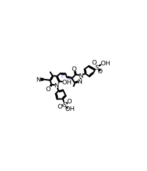 CC1=NN(c2ccc(S(=O)(=O)O)cc2)C(=O)/C1=C\C=C/c1c(C)c(C#N)c(=O)n(-c2ccc(S(=O)(=O)O)cc2)c1O